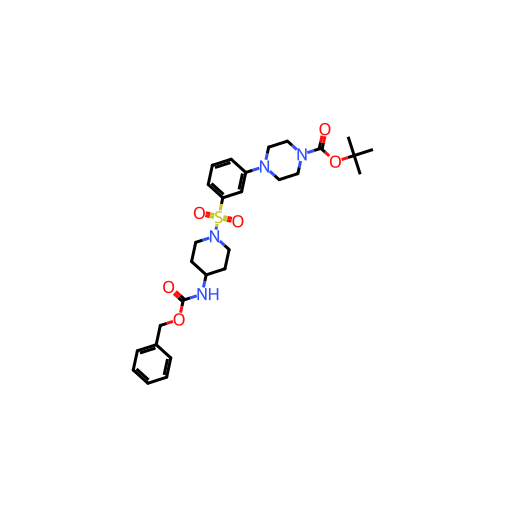 CC(C)(C)OC(=O)N1CCN(c2cccc(S(=O)(=O)N3CCC(NC(=O)OCc4ccccc4)CC3)c2)CC1